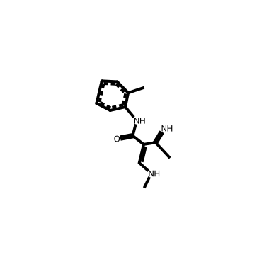 CN/C=C(\C(C)=N)C(=O)Nc1ccccc1C